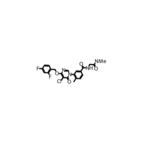 CNC(=O)CNC(=O)c1ccc(C)c(-n2cnc(OCc3ccc(F)cc3F)c(Cl)c2=O)c1